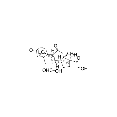 C[C@]12CCC(=O)C=C1CC[C@@H]1[C@@H]2C(=O)C[C@@]2(C)[C@H]1CC[C@]2(O)C(=O)CO.O=CO